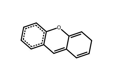 C1=CC2=Cc3ccccc3OC2=CC1